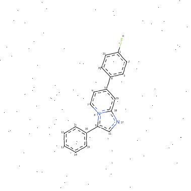 Fc1ccc(-c2ccn3c(-c4ccccc4)cnc3c2)cc1